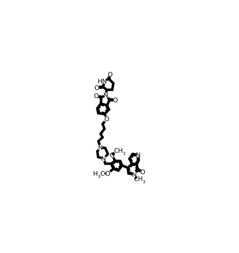 COc1cc(-c2cn(C)c(=O)c3cnccc23)cc(OC)c1CN1CCN(CCCCCOc2ccc3c(c2)C(=O)N(C2CCC(=O)NC2=O)C3=O)CC1